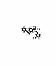 OC(CSc1cc(Cl)ccc1Cl)(c1ccc2c(cnn2-c2ccccc2)c1)C(F)(F)F